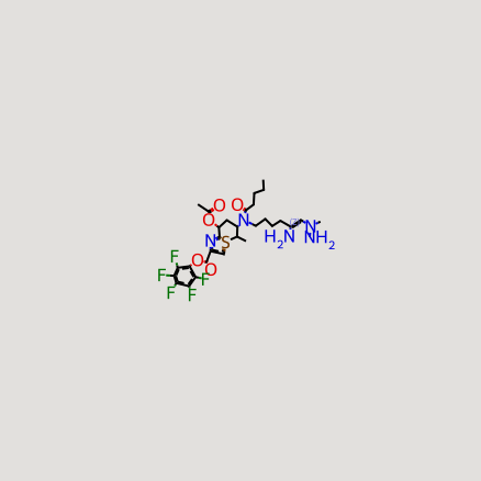 CCCCC(=O)N(CCCC/C(N)=C/N(C)N)C(CC(OC(C)=O)c1nc(C(=O)Oc2c(F)c(F)c(F)c(F)c2F)cs1)C(C)C